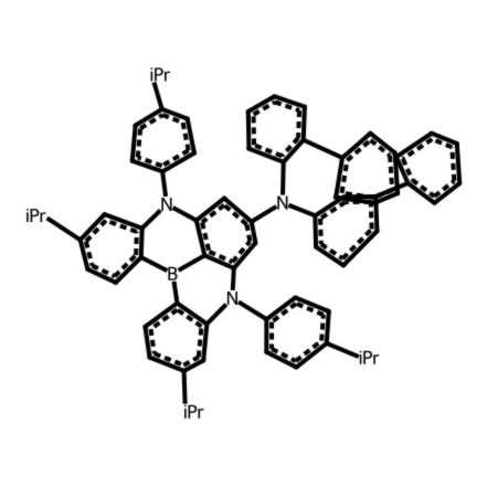 CC(C)c1ccc(N2c3cc(C(C)C)ccc3B3c4ccc(C(C)C)cc4N(c4ccc(C(C)C)cc4)c4cc(N(c5cccc(-c6ccccc6)c5)c5ccccc5-c5ccccc5)cc2c43)cc1